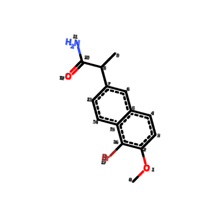 COc1ccc2cc(C(C)C(N)=O)ccc2c1Br